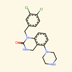 O=C1NCc2c(N3CCNCC3)cccc2N1Cc1ccc(Cl)c(Cl)c1